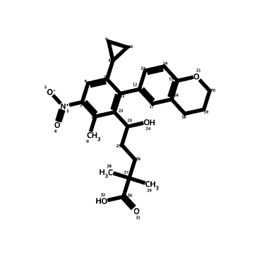 Cc1c([N+](=O)[O-])cc(C2CC2)c(-c2ccc3c(c2)CCCO3)c1C(O)CCC(C)(C)C(=O)O